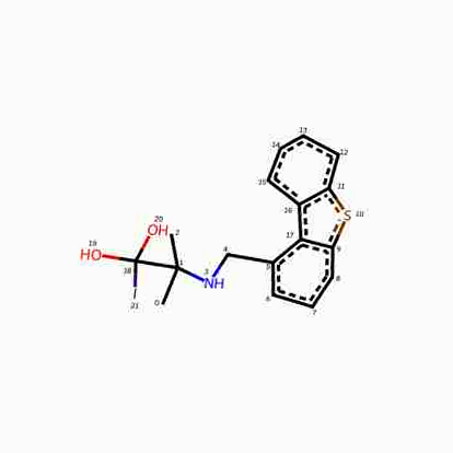 CC(C)(NCc1cccc2sc3ccccc3c12)C(O)(O)I